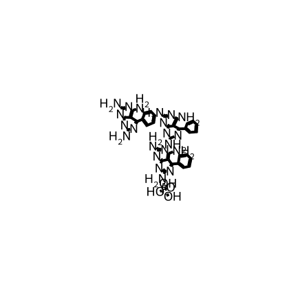 Nc1nc(N)c2c(-c3ccccc3)nc(N)nc2n1.Nc1nc(N)c2c(-c3ccccc3)nc(N)nc2n1.Nc1nc(N)c2c(-c3ccccc3)nc(N)nc2n1.O=P(O)(O)O